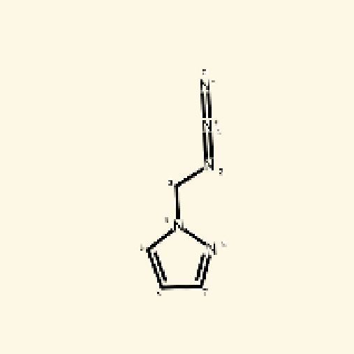 [N-]=[N+]=NCn1cccn1